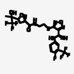 CC(O)(C1CC(C(=O)NCCSc2nonc2C(=N)Nc2ccc(F)c(C(F)(F)F)c2)=NO1)C(F)(F)F